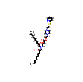 CCCCCCCCC(O)CN(CCCC(=O)OCCN1CCN(CCSSc2ccccn2)CC1)CC(O)CCCCCCCC